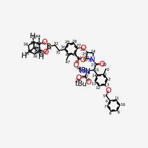 Cc1cc(OCc2ccccc2)ccc1C(NC(=O)OC(C)(C)C)C(=O)N1CC(Oc2ccc(CCB3O[C@@H]4C[C@@H]5C[C@@H](C5(C)C)[C@]4(C)O3)c(C)c2C(=O)OC(C)(C)C)C1